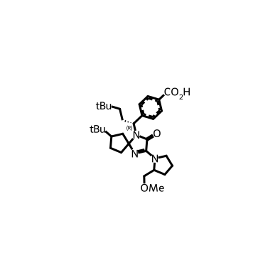 COCC1CCCN1C1=NC2(CCC(C(C)(C)C)C2)N([C@H](CCC(C)(C)C)c2ccc(C(=O)O)cc2)C1=O